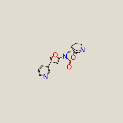 O=C1O[C@]2(CN3CCC2CC3)CN1c1cc(-c2cccnc2)co1